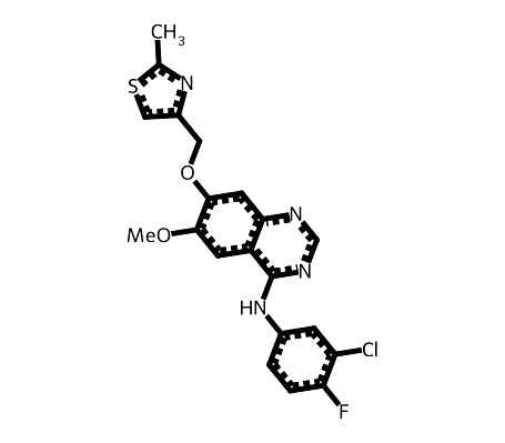 COc1cc2c(Nc3ccc(F)c(Cl)c3)ncnc2cc1OCc1csc(C)n1